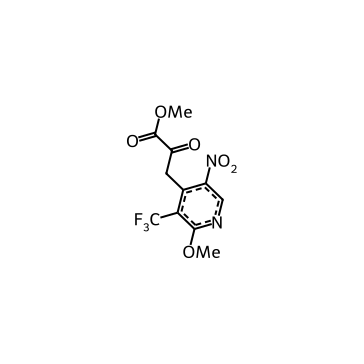 COC(=O)C(=O)Cc1c([N+](=O)[O-])cnc(OC)c1C(F)(F)F